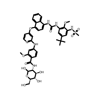 COc1cc(Nc2cc(Oc3ccc(NC(=O)Nc4cc(C(C)(C)C)cc(NS(C)(=O)=O)c4OC)c4ccccc34)ccn2)ccc1C(=O)N[C@H]1C(O)O[C@H](CO)[C@@H](O)[C@@H]1O